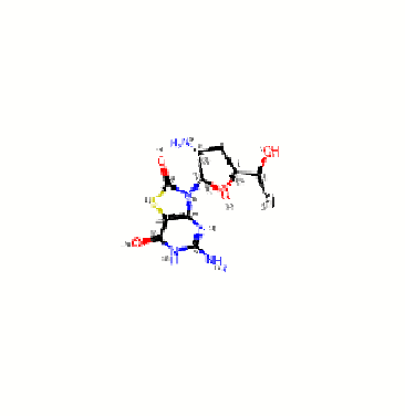 CCC(O)[C@@H]1C[C@@H](N)[C@H](n2c(=O)sc3c(=O)[nH]c(N)nc32)O1